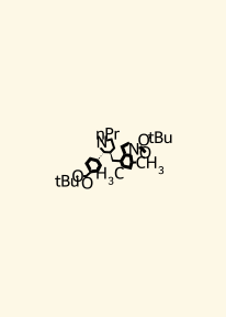 CCCN1CC[C@@H](Cc2c(C)cc(C)c3c2ccn3C(=O)OC(C)(C)C)[C@H](c2ccc(C(=O)OC(C)(C)C)cc2)C1